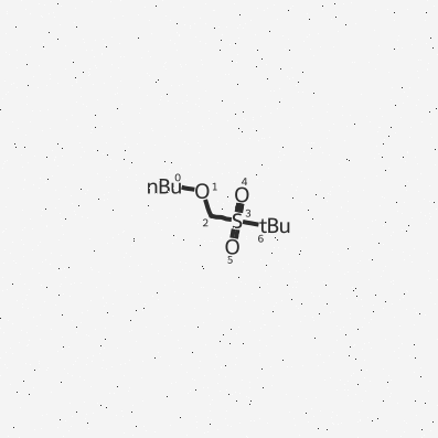 CCCCOCS(=O)(=O)C(C)(C)C